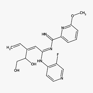 C=C/C(=C/C(=N\C(=N)c1cccc(OC)n1)Nc1ccncc1F)C(O)CO